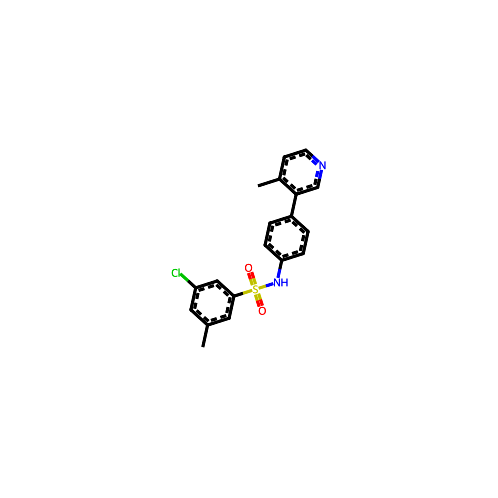 Cc1cc(Cl)cc(S(=O)(=O)Nc2ccc(-c3cnccc3C)cc2)c1